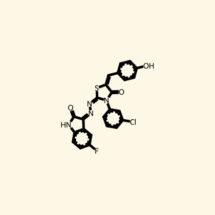 O=C1Nc2ccc(F)cc2C1=NN=C1SC(=Cc2ccc(O)cc2)C(=O)N1c1cccc(Cl)c1